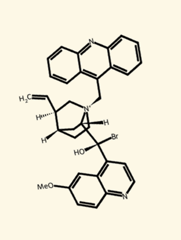 C=C[C@H]1C[N@+]2(Cc3c4ccccc4nc4ccccc34)CC[C@H]1C[C@H]2[C@](O)(Br)c1ccnc2ccc(OC)cc12